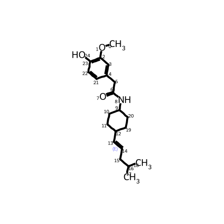 COc1cc(CC(=O)NC2CCC(/C=C/CC(C)C)CC2)ccc1O